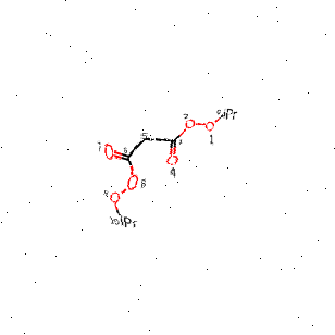 CC(C)OOC(=O)CC(=O)OOC(C)C